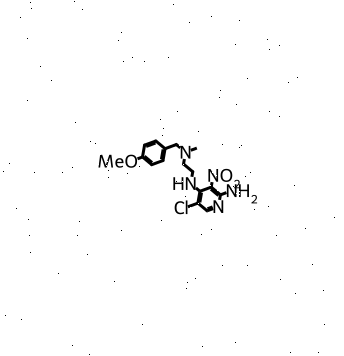 COc1ccc(CN(C)CCNc2c(Cl)cnc(N)c2[N+](=O)[O-])cc1